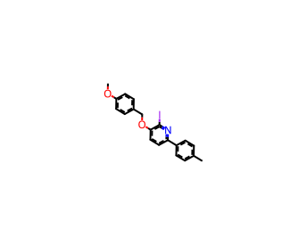 COc1ccc(COc2ccc(-c3ccc(C)cc3)nc2I)cc1